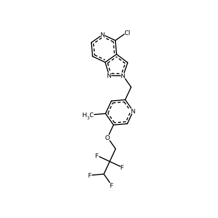 Cc1cc(Cn2cc3c(Cl)nccc3n2)ncc1OCC(F)(F)C(F)F